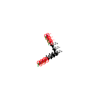 C=C(C)[CH2][Ni+2].C=C(C)[CH2][Ni+2].C=C(C)[CH2][Ni+2].C=C(C)[CH2][Ni+2].C=C(C)[CH2][Ni+2].C=C(C)[CH2][Ni+2].O=P([O-])([O-])F.O=P([O-])([O-])F.O=P([O-])([O-])F.O=P([O-])([O-])F.O=P([O-])([O-])F.O=P([O-])([O-])F